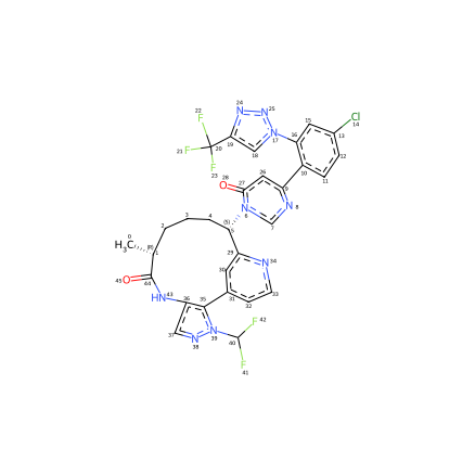 C[C@@H]1CCC[C@H](n2cnc(-c3ccc(Cl)cc3-n3cc(C(F)(F)F)nn3)cc2=O)c2cc(ccn2)-c2c(cnn2C(F)F)NC1=O